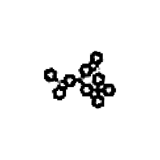 C1=Cc2c(c3cc(N(c4ccc5c(c4)oc4ccccc45)C4C=C5C(=CC4)c4ccccc4C5(c4ccccc4)c4ccccc4)ccc3n2-c2ccccc2)CC1